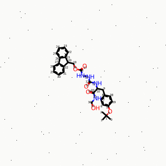 CC(C)(C)Oc1ccc(CC(NC(=O)NNC(=O)OCC2c3ccccc3-c3ccccc32)C(=O)NCO)cc1